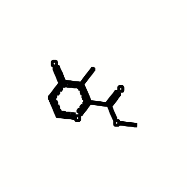 COC(=O)c1occc(=O)c1C